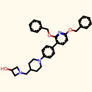 OC1CN(CC2CCN(c3ccc(-c4ccc(OCc5ccccc5)nc4OCc4ccccc4)cc3)CC2)C1